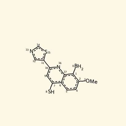 Bc1c(OC)ccc2c(S)cc(-c3cncs3)nc12